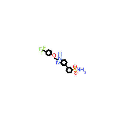 NS(=O)(=O)c1cccc(-c2ccc3[nH]c(COc4ccc(C(F)(F)F)cc4)nc3c2)c1